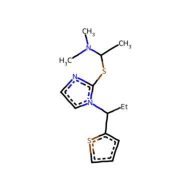 CCC(c1cccs1)n1ccnc1SC(C)N(C)C